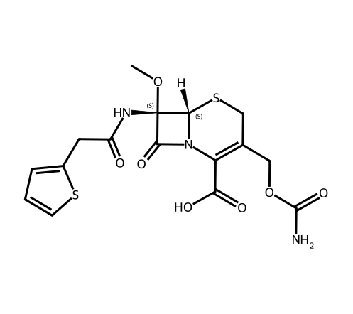 CO[C@@]1(NC(=O)Cc2cccs2)C(=O)N2C(C(=O)O)=C(COC(N)=O)CS[C@H]21